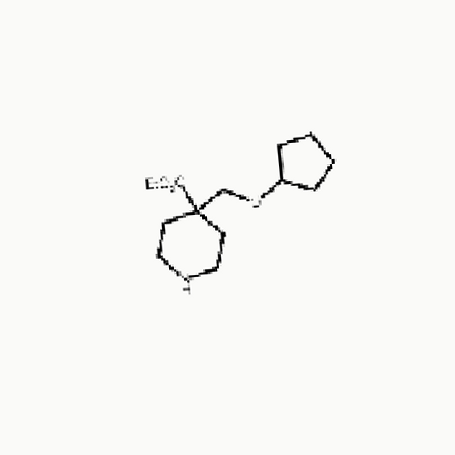 CCOC(=O)C1(COC2CCCC2)CCNCC1